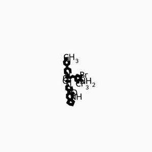 CN1CCC(C2CCN(C(=O)[C@H](CC(=O)N3CCC(N4CCc5ccccc5NC4=O)CC3)Cc3cc(Br)c(N)c(C(F)(F)F)c3)CC2)CC1